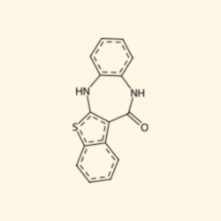 O=C1Nc2ccccc2Nc2sc3ccccc3c21